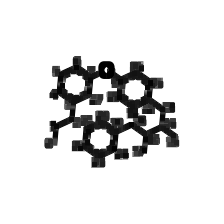 CCCc1cccc(Oc2ccc(CC(C)C(C)Cc3ccccc3)cc2)c1